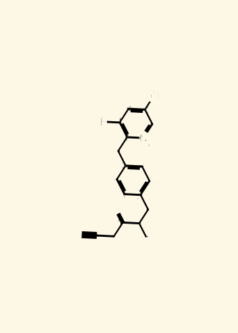 C#CCC(=O)C(C)Cc1ccc(Cc2ncc(Cl)cc2F)cc1